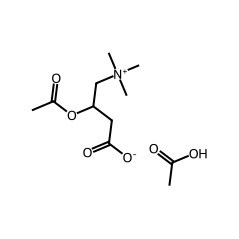 CC(=O)O.CC(=O)OC(CC(=O)[O-])C[N+](C)(C)C